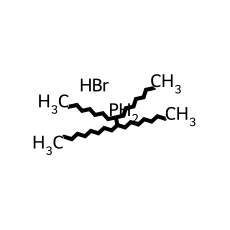 Br.CCCCCCCCCC(CCCCCCCC)C(P)(CCCCCCCC)CCCCCCCC